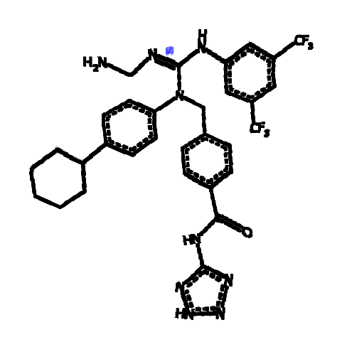 NC/N=C(/Nc1cc(C(F)(F)F)cc(C(F)(F)F)c1)N(Cc1ccc(C(=O)Nc2nn[nH]n2)cc1)c1ccc(C2CCCCC2)cc1